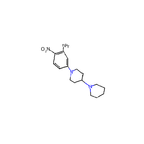 CCCc1cc(N2CCC(N3CCCCC3)CC2)ccc1[N+](=O)[O-]